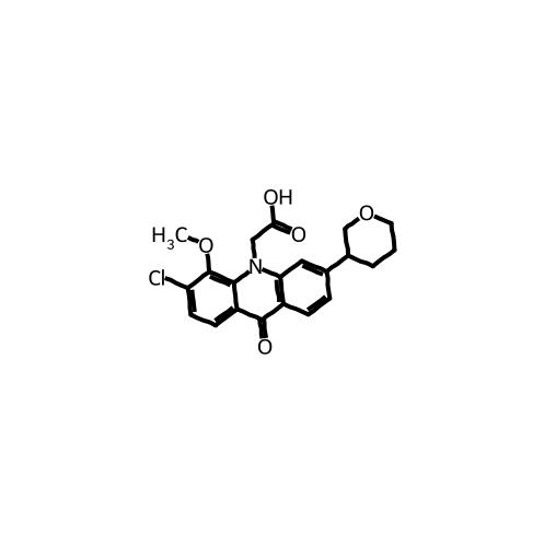 COc1c(Cl)ccc2c(=O)c3ccc(C4CCCOC4)cc3n(CC(=O)O)c12